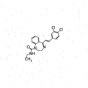 CCNC(=O)N1CCN=C(C=Cc2ccc(Cl)c(Cl)c2)c2ccccc21